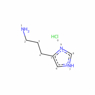 Cl.NCCCc1c[nH]cn1